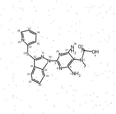 CN(C(=O)O)c1c(N)nc(-n2nc(Sc3ccccn3)c3ccccc32)nc1N